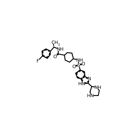 C[C@@H](NC(=O)C1CCC(NS(=O)(=O)c2ccc3[nH]c(C4CNCCN4)nc3c2)CC1)c1ccc(F)cc1